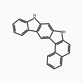 c1ccc2c(c1)ccc1[nH]c3cc4[nH]c5ccccc5c4cc3c12